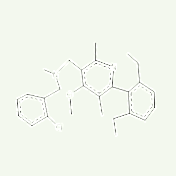 CCc1cccc(CC)c1-c1nc(C)c(CN(C)Cc2ccccc2Cl)c(OC)c1C